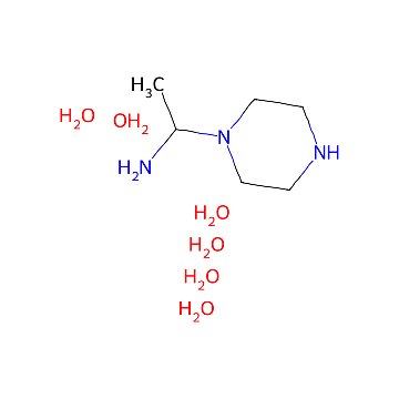 CC(N)N1CCNCC1.O.O.O.O.O.O